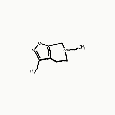 Cc1noc2c1CCN(C)C2